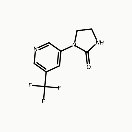 O=C1NCCN1c1cncc(C(F)(F)F)c1